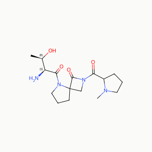 C[C@@H](O)[C@H](N)C(=O)N1CCCC12CN(C(=O)C1CCCN1C)C2=O